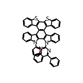 c1ccc(-c2nc(-n3c4ccccc4c4c5c6c7ccccc7sc6c6sc7ccccc7c6c5c5c6ccccc6n(-c6ccccc6)c5c43)nc3ccccc23)cc1